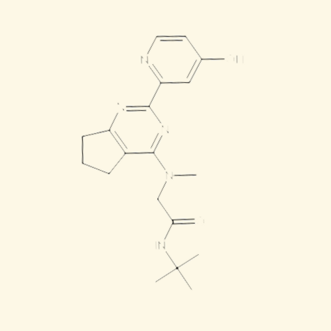 CN(CC(=O)NC(C)(C)C)c1nc(-c2cc(O)ccn2)nc2c1CCC2